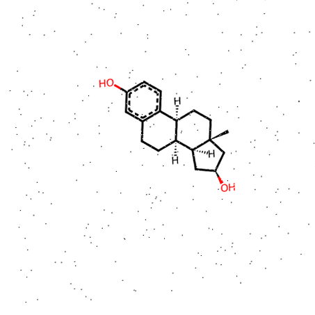 C[C@]12CC[C@@H]3c4ccc(O)cc4CC[C@@H]3[C@@H]1C[C@H](O)C2